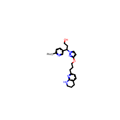 COc1ccc(C(CCO)n2ccc(OCCCc3ccc4c(n3)NCCC4)n2)cn1